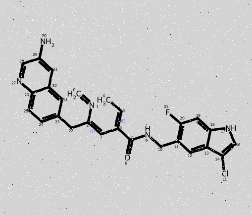 C=N/C(=C\C(=C/C)C(=O)NCc1cc2c(Cl)c[nH]c2cc1F)Cc1ccc2ncc(N)cc2c1